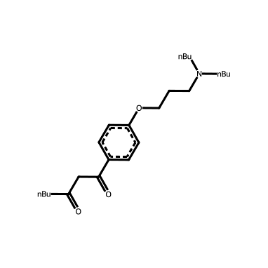 CCCCC(=O)CC(=O)c1ccc(OCCCN(CCCC)CCCC)cc1